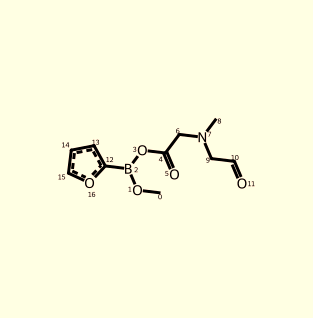 COB(OC(=O)CN(C)CC=O)c1ccco1